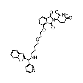 O=C1CCC(N2C(=O)c3cccc(OCCOCCCCNC(c4cccnc4)c4cc5ccccc5o4)c3C2=O)C(=O)N1